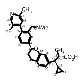 CNCc1cc([C@@H]2CCc3ccc([C@H](C4CC4)[C@H](C)C(=O)O)cc3O2)ccc1-c1cc(C)ncc1F